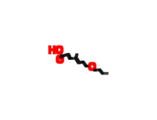 CCCCOCC/C=C(C)/C=C/C(=O)O